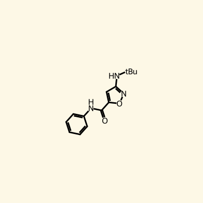 CC(C)(C)Nc1cc(C(=O)Nc2ccccc2)on1